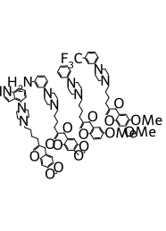 COc1cc2occ(CCCCN3CCN(c4cccc(C(F)(F)F)c4)CC3)c(=O)c2cc1OC.COc1ccc2occ(CCCCN3CCN(c4ccccc4)CC3)c(=O)c2c1.Nc1cccc(N2CCN(CCCCc3coc4cc5c(cc4c3=O)OCO5)CC2)c1.O=c1c(CCCCN2CCN(c3cccc4[nH]ccc34)CC2)coc2cc3c(cc12)OCO3